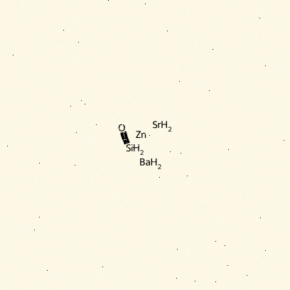 O=[SiH2].[BaH2].[SrH2].[Zn]